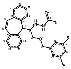 CC(=O)NNC(COCc1cc(C)cc(C)c1)C1c2ccccc2C=Cc2ccccc21